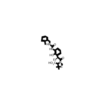 CC[C@H](C(=O)N1CSC(C)(C)C1C(=O)O)c1cccc(NC(=O)NCc2ccccc2C)c1O